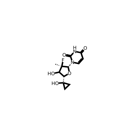 C[C@@]1(F)C(O)[C@@H](C2(O)CC2)O[C@H]1n1ccc(=O)[nH]c1=O